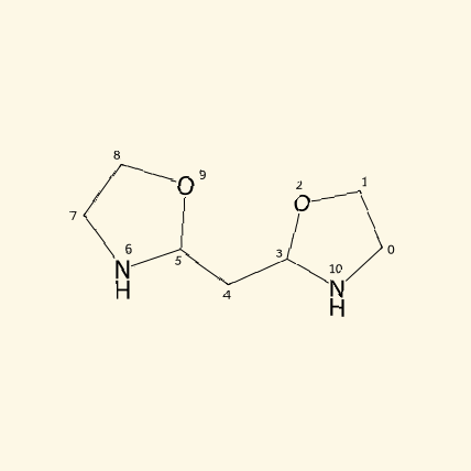 C1COC(CC2NCCO2)N1